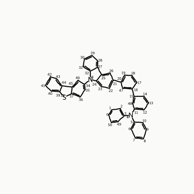 c1ccc(N(c2ccccc2)c2cccc(-c3cccc(-c4ccc5c(c4)c4ccccc4n5-c4ccc5sc6ccccc6c5c4)c3)c2)cc1